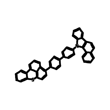 c1ccc2c(c1)Sc1ccc(-c3ccc(-c4ccc(-n5c6ccccc6c6ccc7ccccc7c65)cc4)cc3)c3cccc-2c13